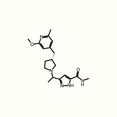 CNC(=O)c1cc(C(C)N2CC[C@H](Cc3cc(C)nc(OC)c3)C2)n[nH]1